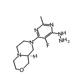 Cc1nc(NN)c(F)c(N2CCN3CCOC[C@@H]3C2)n1